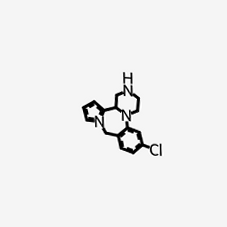 Clc1ccc2c(c1)N1CCNCC1c1cccn1C2